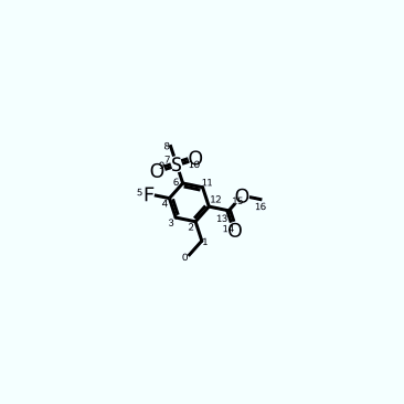 CCc1cc(F)c(S(C)(=O)=O)cc1C(=O)OC